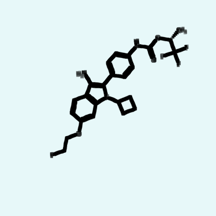 C[C@@H](OC(=O)Nc1ccc(-c2c(N)c3ccc(OCCF)cc3n2C2CCC2)cc1)C(F)(F)F